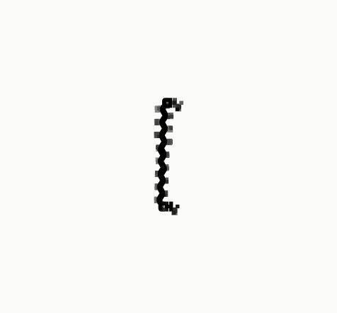 [CH2]CCCCC=CCC=CCCCCCC[CH2]